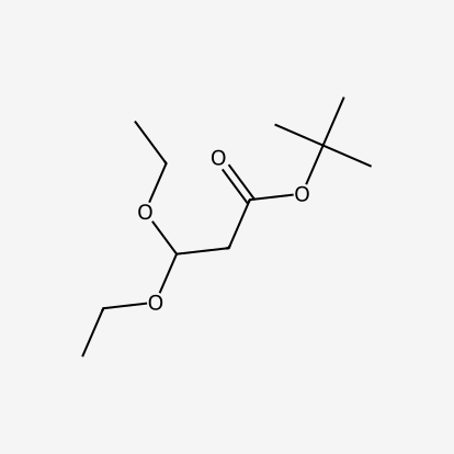 CCOC(CC(=O)OC(C)(C)C)OCC